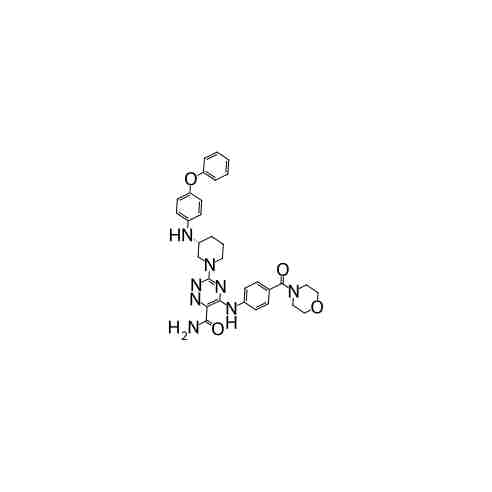 NC(=O)c1nnc(N2CCC[C@@H](Nc3ccc(Oc4ccccc4)cc3)C2)nc1Nc1ccc(C(=O)N2CCOCC2)cc1